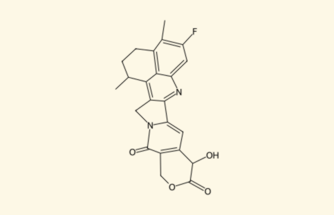 Cc1c(F)cc2nc3c(c4c2c1CCC4C)Cn1c-3cc2c(c1=O)COC(=O)C2O